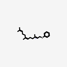 CC(C)=CCCC(C)=CCC/C(C)=C/CSc1ccccc1